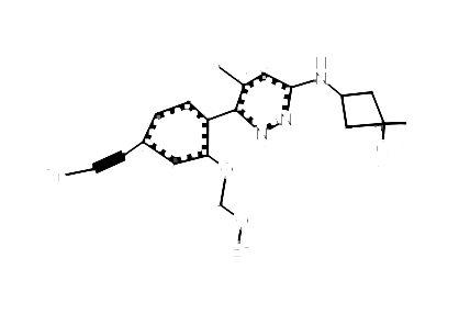 CCOCOc1cc(C#CBr)ccc1-c1nnc(NC2CC(C)(O)C2)cc1C